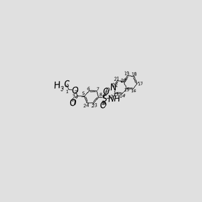 CCOC(=O)c1ccc(S(=O)(=O)Nc2cc3ccccc3cn2)cc1